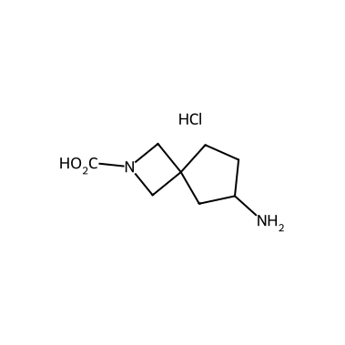 Cl.NC1CCC2(C1)CN(C(=O)O)C2